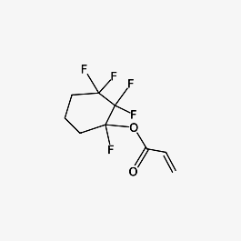 C=CC(=O)OC1(F)CCCC(F)(F)C1(F)F